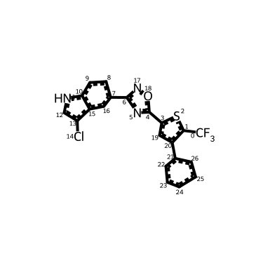 FC(F)(F)c1sc(-c2nc(-c3ccc4[nH]cc(Cl)c4c3)no2)cc1-c1ccccc1